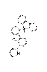 CS1(c2cccc3oc4c(-c5ccccn5)cccc4c23)c2ccccc2-c2ccccc21